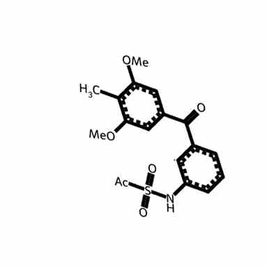 COc1cc(C(=O)c2[c]c(NS(=O)(=O)C(C)=O)ccc2)cc(OC)c1C